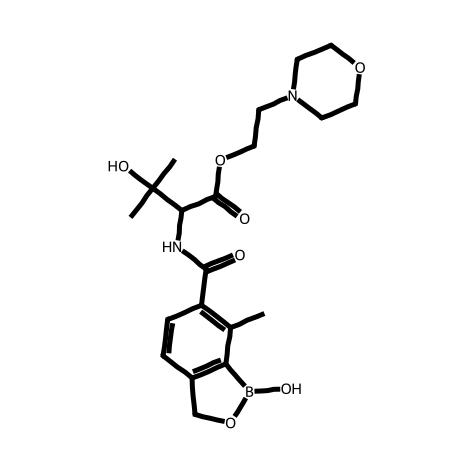 Cc1c(C(=O)NC(C(=O)OCCN2CCOCC2)C(C)(C)O)ccc2c1B(O)OC2